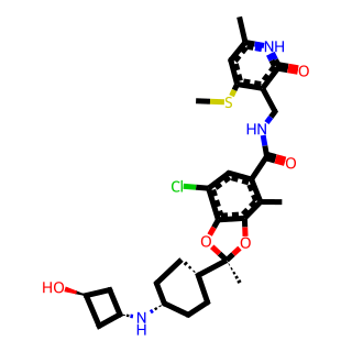 CSc1cc(C)[nH]c(=O)c1CNC(=O)c1cc(Cl)c2c(c1C)O[C@@](C)([C@H]1CC[C@@H](N[C@H]3C[C@H](O)C3)CC1)O2